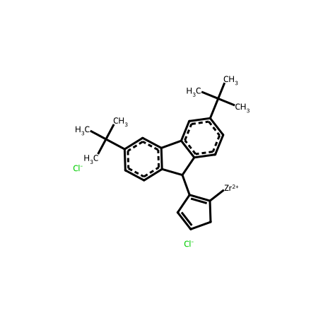 CC(C)(C)c1ccc2c(c1)-c1cc(C(C)(C)C)ccc1C2C1=[C]([Zr+2])CC=C1.[Cl-].[Cl-]